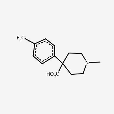 CN1CCC(C(=O)O)(c2ccc(C(F)(F)F)cc2)CC1